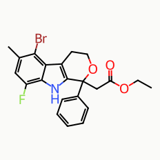 CCOC(=O)CC1(c2ccccc2)OCCc2c1[nH]c1c(F)cc(C)c(Br)c21